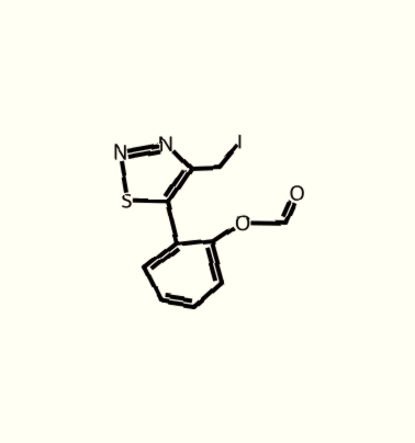 O=COc1ccccc1-c1snnc1CI